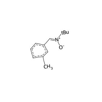 Cc1cccc(C=[N+]([O-])C(C)(C)C)c1